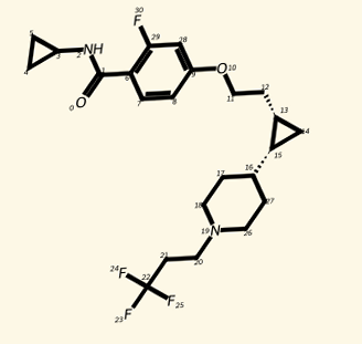 O=C(NC1CC1)c1ccc(OCC[C@@H]2C[C@@H]2C2CCN(CCC(F)(F)F)CC2)cc1F